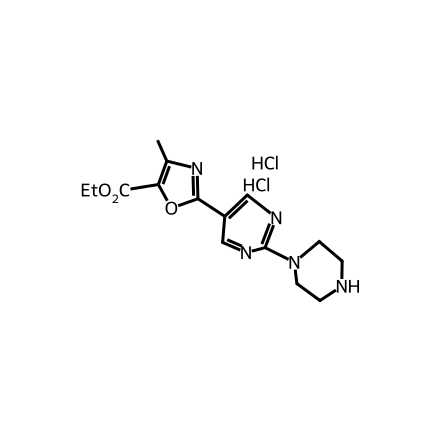 CCOC(=O)c1oc(-c2cnc(N3CCNCC3)nc2)nc1C.Cl.Cl